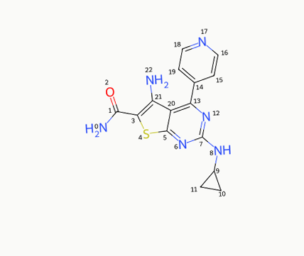 NC(=O)c1sc2nc(NC3CC3)nc(-c3ccncc3)c2c1N